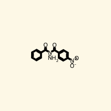 NN(C(=O)c1ccccc1)C(=O)c1ccc([N+](=O)[O-])cc1